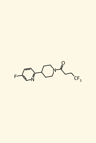 O=C(CCC(F)(F)F)N1CCC(c2ccc(F)cn2)CC1